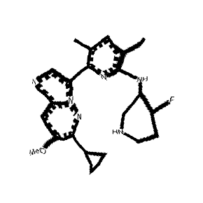 COc1cc2ncc(-c3nc(NC4CNCCC4F)c(C)cc3C)n2nc1C1CC1